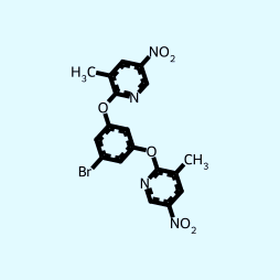 Cc1cc([N+](=O)[O-])cnc1Oc1cc(Br)cc(Oc2ncc([N+](=O)[O-])cc2C)c1